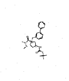 CON(C)C(=O)[C@@]1(Cc2cccc(-c3ccccc3)c2)CC[C@H](NC(=O)OC(C)(C)C)C1